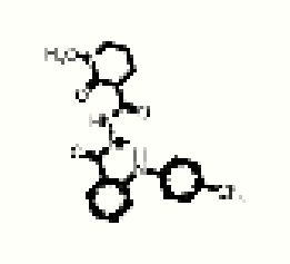 CN1CCCC(C(=O)NNC(=O)c2ccccc2Nc2ccc(C(F)(F)F)cc2)C1=O